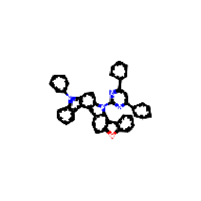 c1ccc(-c2cc(-c3ccccc3)nc(-n3c4ccc5c(c6ccccc6n5-c5ccccc5)c4c4ccc5oc6ccccc6c5c43)n2)cc1